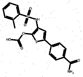 Cc1ccccc1S(=O)(=O)Nc1cc(-c2ccc(C(N)=O)cc2)sc1OC(=O)O